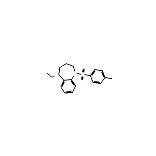 Cc1ccc(S(=O)(=O)N2CCC[C@H](CBr)c3ccccc32)cc1